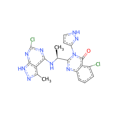 Cc1n[nH]c2nc(Cl)nc(N[C@@H](C)c3nc4cccc(Cl)c4c(=O)n3-c3cc[nH]n3)c12